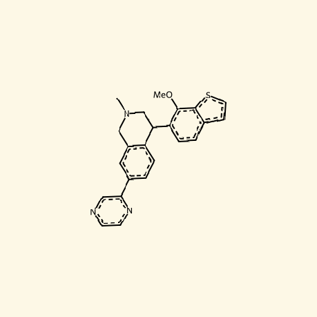 COc1c(C2CN(C)Cc3cc(-c4cnccn4)ccc32)ccc2ccsc12